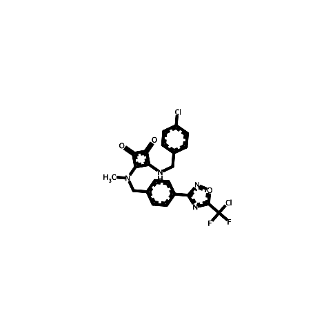 CN(Cc1ccc(-c2noc(C(F)(F)Cl)n2)cc1)c1c(NCc2ccc(Cl)cc2)c(=O)c1=O